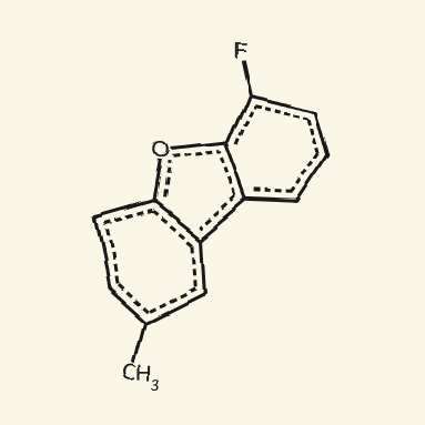 Cc1ccc2oc3c(F)cccc3c2c1